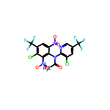 CC(=O)N(c1ncc(C(F)(F)F)cc1Cl)c1c([N+](=O)[O-])cc(C(F)(F)F)c(Cl)c1[N+](=O)[O-]